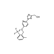 Cc1cccc(C(F)(F)F)c1COc1ccc(-n2cnc(CO)n2)nc1